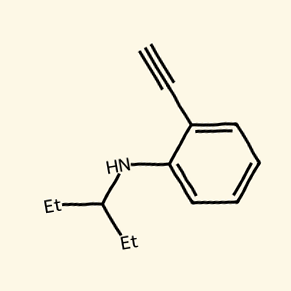 C#Cc1ccccc1NC(CC)CC